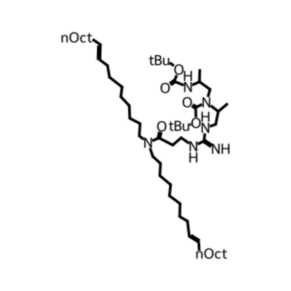 CCCCCCCCC=CCCCCCCCCN(CCCCCCCCC=CCCCCCCCC)C(=O)CCNC(=N)NCC(C)N(CC(C)NC(=O)OC(C)(C)C)C(=O)OC(C)(C)C